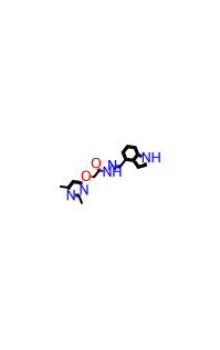 Cc1cc(OCC(=O)N/N=C/c2cccc3[nH]ccc23)nc(C)n1